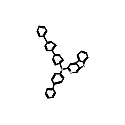 c1ccc(-c2ccc(-c3ccc(N(c4ccc(-c5ccccc5)cc4)c4cc5c(cn4)sc4ccccc45)cc3)cc2)cc1